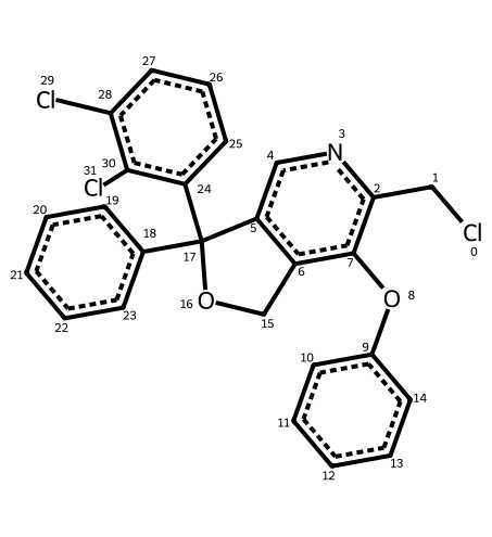 ClCc1ncc2c(c1Oc1ccccc1)COC2(c1ccccc1)c1cccc(Cl)c1Cl